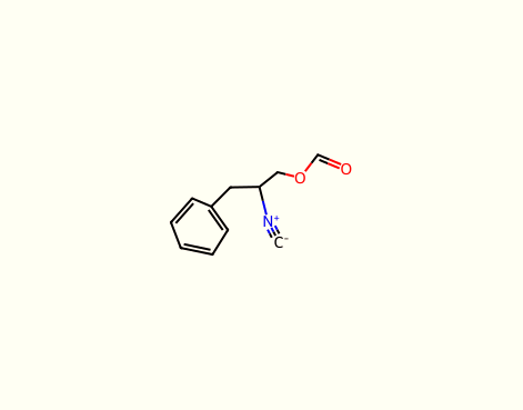 [C-]#[N+]C(COC=O)Cc1ccccc1